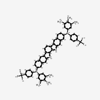 Cc1cc(N(c2ccc(C(F)(F)F)cc2)c2ccc3cc4c(cc3c2)oc2c4ccc3c4cc5ccc(N(c6ccc(C(F)(F)F)cc6)c6cc(C)c(C)c(C)c6)cc5cc4oc32)cc(C)c1C